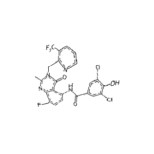 Cc1nc2c(F)ccc(NC(=O)c3cc(Cl)c(O)c(Cl)c3)c2c(=O)n1Cc1ncccc1C(F)(F)F